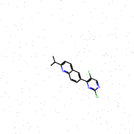 CC(C)c1ccc2cc(-c3nc(Cl)ncc3F)ccc2n1